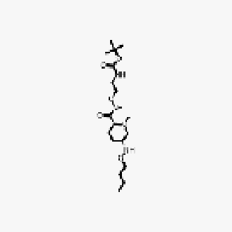 CCCCON[C@@H]1CC[C@@H](C(=O)NOCCNC(=O)OC(C)(C)C)N(C)C1